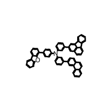 c1cc(-c2cc3c4c(cccc4c2)-c2ccccc2-3)cc(N(c2ccc(-c3cccc4c3oc3ccccc34)cc2)c2cccc(-c3ccc4ccc5ccccc5c4c3)c2)c1